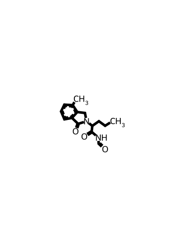 CCCC(C(=O)NC=O)N1Cc2c(C)cccc2C1=O